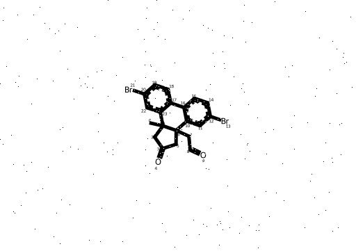 CC12CC(=O)CC1(CC=O)c1cc(Br)ccc1-c1ccc(Br)cc12